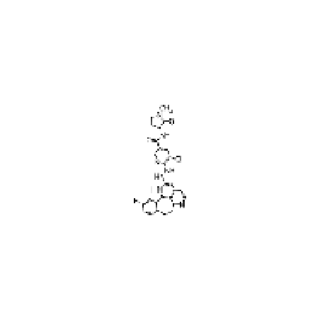 CN1CC[C@@H](NC(=O)c2cnc(NNC(=S)NC3c4cc(F)ccc4CCc4ncccc43)c(Cl)c2)C1=O